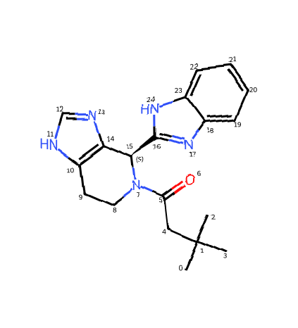 CC(C)(C)CC(=O)N1CCc2[nH]cnc2[C@H]1c1nc2ccccc2[nH]1